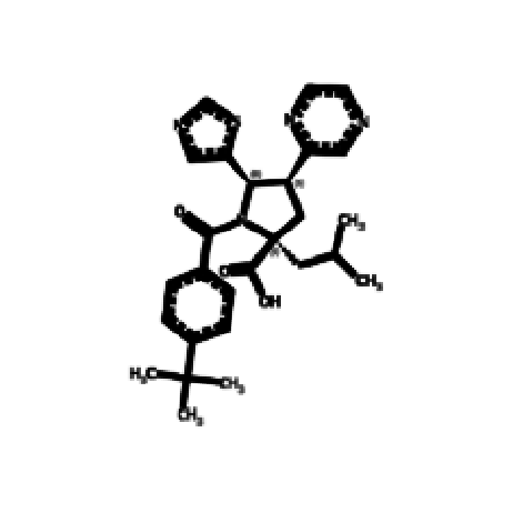 CC(C)C[C@@]1(C(=O)O)C[C@H](c2cnccn2)[C@H](c2cncs2)N1C(=O)c1ccc(C(C)(C)C)cc1